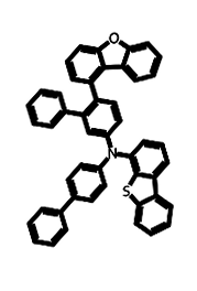 c1ccc(-c2ccc(N(c3ccc(-c4cccc5oc6ccccc6c45)c(-c4ccccc4)c3)c3cccc4c3sc3ccccc34)cc2)cc1